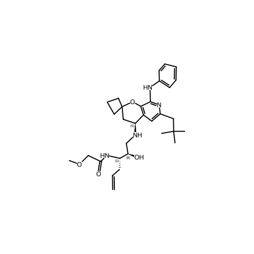 C=CC[C@H](NC(=O)COC)[C@H](O)CN[C@H]1CC2(CCC2)Oc2c1cc(CC(C)(C)C)nc2Nc1ccccc1